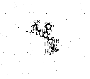 Cn1cc(C#N)nc1C(=O)Nc1ccc(C2CNC(=NS(C)(=O)=O)NC2)cc1C1=CCCCC1